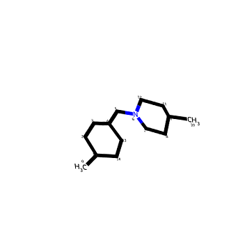 CC1CCC(CN2CCC(C)CC2)CC1